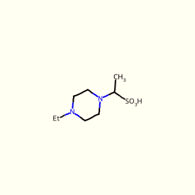 CCN1CCN(C(C)S(=O)(=O)O)CC1